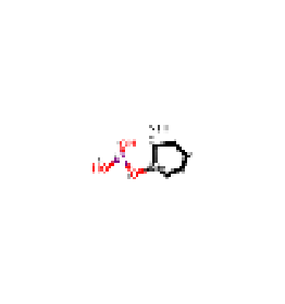 OP(O)O[SiH]1CCCCC1.[NaH]